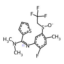 Cc1cc(F)c(/N=C(\c2cccs2)N(C)C)cc1[S+]([O-])CC(F)(F)F